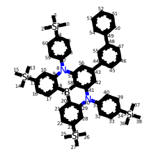 C[Si](C)(C)c1ccc(N2c3cc([Si](C)(C)C)ccc3B3c4ccc([Si](C)(C)C)cc4N(c4ccc([Si](C)(C)C)cc4)c4cc(-c5cccc(-c6ccccc6)c5)cc2c43)cc1